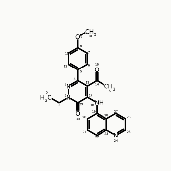 CCn1nc(-c2ccc(OC)cc2)c(C(C)=O)c(Nc2cccc3ncccc23)c1=O